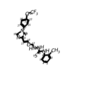 Cc1ccccc1NC(=S)NNCO/C=C/c1ncn(-c2ccc(OC(F)(F)F)cc2)n1